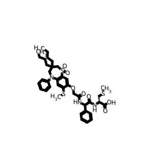 CCCCC1(CCCC)CN(c2ccccc2)c2cc(SC)c(OCC(=O)NC(C(=O)N[C@@H](CSC)C(=O)O)c3ccccc3)cc2S(=O)(=O)C1